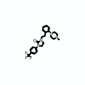 CN1CCN(c2ccccc2CCN2CCN(c3ccc(C(F)(F)F)cc3)C2=O)CC1